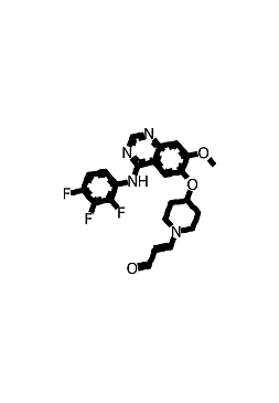 COc1cc2ncnc(Nc3ccc(F)c(F)c3F)c2cc1OC1CCN(C=CC=O)CC1